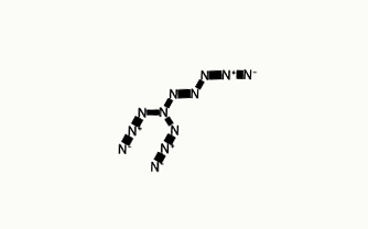 [N-]=[N+]=NN=NN(N=[N+]=[N-])N=[N+]=[N-]